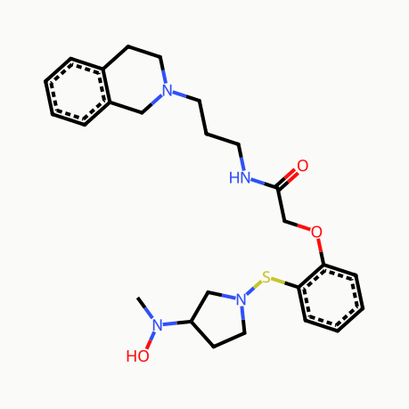 CN(O)C1CCN(Sc2ccccc2OCC(=O)NCCCN2CCc3ccccc3C2)C1